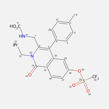 Cc1ccc(-c2c(CNC(=O)O)n(CC(C)C)c(=O)c3ccc(OS(=O)(=O)C(F)(F)F)cc23)cc1